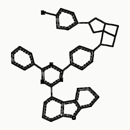 Brc1ccc(C2CC3CC4CC(c5ccc(-c6nc(-c7ccccc7)nc(-c7cccc8oc9ccccc9c78)n6)cc5)C34C2)cc1